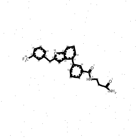 NC(=O)CCNC(=O)c1cccc(-c2cccc3oc(Cc4cccc(C(F)(F)F)c4)cc23)c1